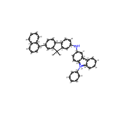 CC1(C)c2cc(Nc3ccc4c(c3)c3ccccc3n4-c3ccccc3)ccc2-c2ccc(-c3cccc4ccccc34)cc21